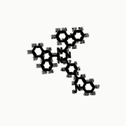 CN1C=C(c2ccc(-c3nc(-c4cc5ccccc5c5c4C=C=C=C5)nc(-c4cc5c(c6ccccc46)C=CCC5)n3)cc2)C=C2C=CC=CC21